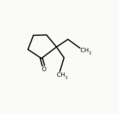 CCC1(CC)CCCC1=O